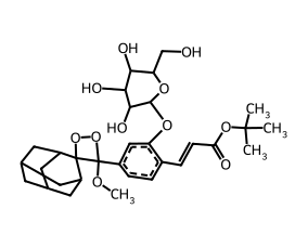 COC1(c2ccc(/C=C/C(=O)OC(C)(C)C)c(OC3OC(CO)C(O)C(O)C3O)c2)OOC12C1CC3CC(C1)CC2C3